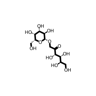 O=C(CO[C@@H]1O[C@H](CO)[C@H](O)[C@H](O)[C@H]1O)[C@@H](O)[C@H](O)[C@H](O)CO